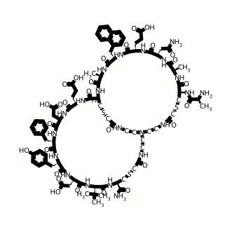 C[C@H](N)C(=O)N[C@H]1CSCC(=O)NCCN2CCNC(=O)CSC[C@@H](C(N)=O)NC(=O)[C@H](C(C)(C)C)NC(=O)[C@H](CC(=O)O)NC(=O)[C@H](Cc3ccc(O)cc3)NC(=O)[C@H](Cc3ccccc3)NC(=O)C(CC(=O)O)NC(=O)[C@H](CCC(=O)O)NC(=O)[C@@H](CSCC(=O)NCC2)NC(=O)[C@@H](C)NC(=O)[C@H](Cc2cccc3ccccc23)NC(=O)[C@H](CCC(=O)O)NC(=O)[C@H](CC(N)=O)NC(=O)[C@@H](C)NC1=O